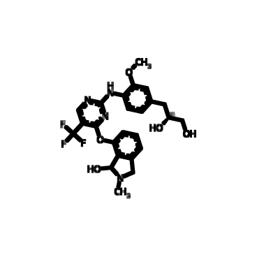 COc1cc(C[C@H](O)CO)ccc1Nc1ncc(C(F)(F)F)c(Oc2cccc3c2C(O)N(C)C3)n1